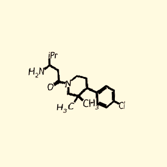 CC(C)C(N)CC(=O)N1CCC(c2ccc(Cl)cc2)C(C)(C)C1